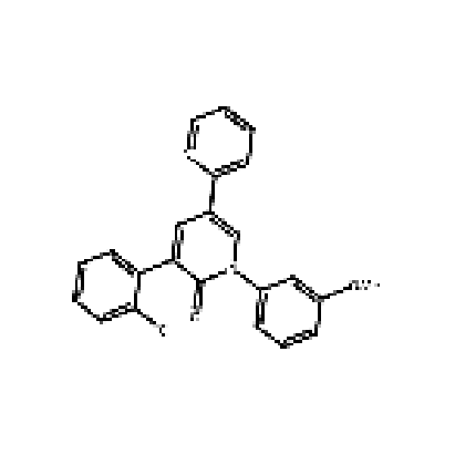 COc1cccc(-n2cc(-c3ccccn3)cc(-c3ccccc3Cl)c2=O)c1